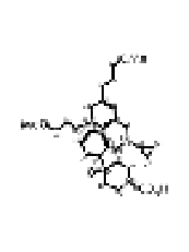 COCCCc1cc(CN(C(=O)[C@H]2CN(C(=O)O)CC[C@]2(O)c2ccccc2)C2CC2)cc(OCCOC)c1